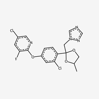 CC1COC(Cn2cncn2)(c2ccc(Oc3ncc(Cl)cc3F)cc2Cl)O1